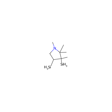 CN1CC([SiH3])C(C)([SiH3])C1(C)C